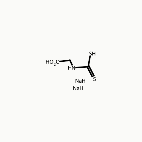 O=C(O)CNC(=S)S.[NaH].[NaH]